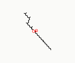 CCCCCCCC/C=C/CCCCCCCC(=O)OC/C=C(\C)CCCC(C)CCCC(C)CCCC(C)C